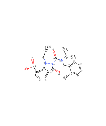 C#CCn1c2c(C(=O)O)cccc2c(=O)n1C(=O)N(Cc1ccccc1C)C(C)C